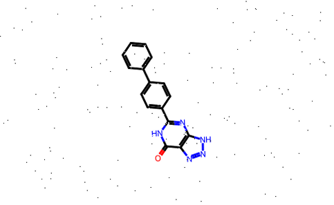 O=c1[nH]c(-c2ccc(-c3ccccc3)cc2)nc2[nH]nnc12